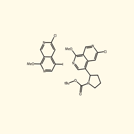 COc1ncc(C2CCCN2C(=O)OC(C)(C)C)c2cc(Cl)ncc12.COc1ncc(I)c2cc(Cl)ncc12